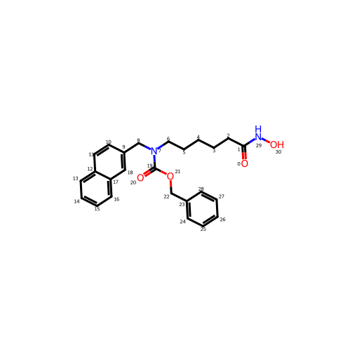 O=C(CCCCCN(Cc1ccc2ccccc2c1)C(=O)OCc1ccccc1)NO